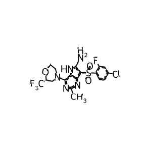 Cc1nc(N2CCO[C@@H](C(F)(F)F)C2)c2[nH]c(N)c(S(=O)(=O)c3ccc(Cl)cc3F)c2n1